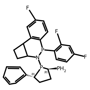 Fc1ccc(P2c3ccc(F)cc3C3CCC3N2P2[C@@H](c3ccccc3)CC[C@@H]2P)c(F)c1